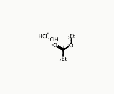 CCOC(=O)CC.Cl.Cl